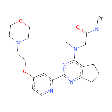 CC(C)NC(=O)CN(C)c1nc(-c2cc(OCCN3CCOCC3)ccn2)nc2c1CCC2